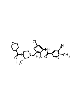 Cc1ncc(C(=O)Nc2cc(Cl)cc(CN3CCN(C(=O)C4CCOCC4)[C@@H](C)C3)c2C)cc1C#N